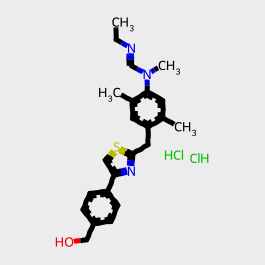 CCN=CN(C)c1cc(C)c(Cc2nc(-c3ccc(CO)cc3)cs2)cc1C.Cl.Cl